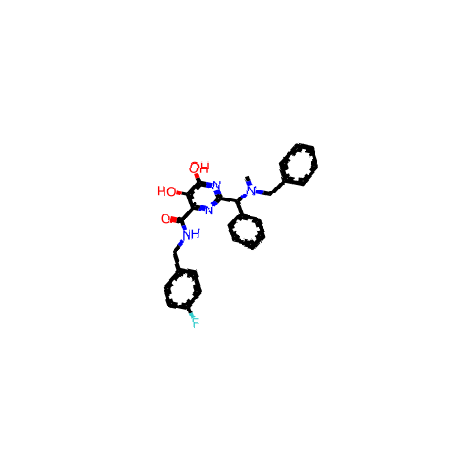 CN(Cc1ccccc1)C(c1ccccc1)c1nc(O)c(O)c(C(=O)NCc2ccc(F)cc2)n1